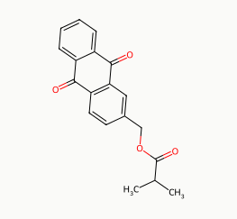 CC(C)C(=O)OCc1ccc2c(c1)C(=O)c1ccccc1C2=O